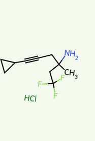 CC(N)(CC#CC1CC1)CC(F)(F)F.Cl